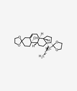 C=C=C[C@]12CC[C@H]3[C@@H](CC=C4CC5(CC[C@@]43C)OCCO5)[C@@H]1CC[C@@H]2C1(C)OCCO1